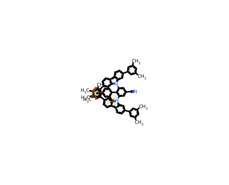 Cc1cc(C)cc(-c2ccc3c4ccc(-c5cc(C)cc(C)c5)cc4n(-c4cc(C#N)cc(-n5c6cc(-c7cc(C)cc(C)c7)ccc6c6ccc(-c7ccc(C)c(C)c7)cc65)c4-c4ccc(C(F)(F)F)cc4C(F)(F)F)c3c2)c1